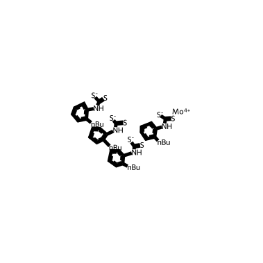 CCCCc1ccccc1NC(=S)[S-].CCCCc1ccccc1NC(=S)[S-].CCCCc1ccccc1NC(=S)[S-].CCCCc1ccccc1NC(=S)[S-].[Mo+4]